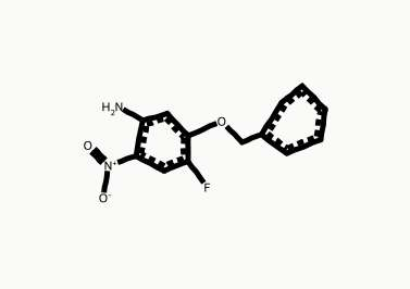 Nc1cc(OCc2ccccc2)c(F)cc1[N+](=O)[O-]